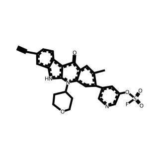 C#Cc1ccc2c(c1)[nH]c1c2c(=O)c2cc(C)c(-c3cncc(OS(=O)(=O)F)c3)cc2n1C1CCOCC1